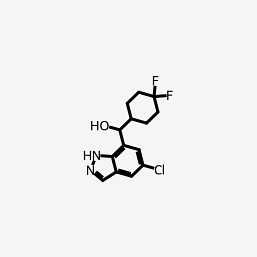 OC(c1cc(Cl)cc2cn[nH]c12)C1CCC(F)(F)CC1